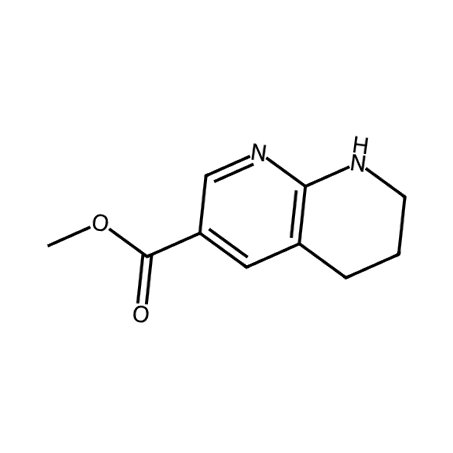 COC(=O)c1cnc2c(c1)CCCN2